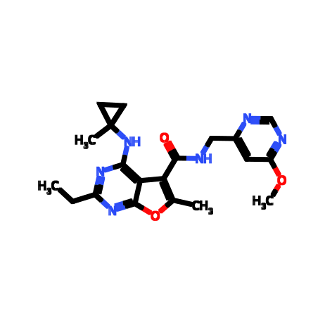 CCc1nc(NC2(C)CC2)c2c(C(=O)NCc3cc(OC)ncn3)c(C)oc2n1